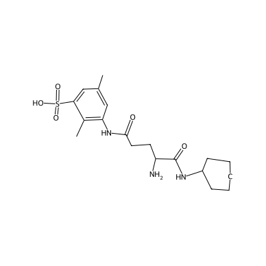 Cc1cc(NC(=O)CCC(N)C(=O)NC2CCCCC2)c(C)c(S(=O)(=O)O)c1